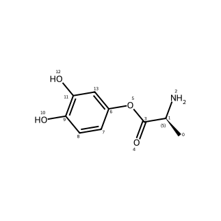 C[C@H](N)C(=O)Oc1ccc(O)c(O)c1